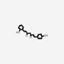 O=C(/C=C/c1ccc(O)cc1)CC(=O)/C=C/c1ccccc1O